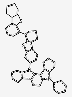 C1=CCC2C(=C1)Sc1c(-c3cccc4c3sc3cc(-n5c6ccccc6c6ccc7c(c8ccccc8n7-c7ccccc7)c65)ccc34)cccc12